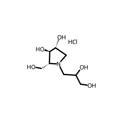 Cl.OCC(O)CN1C[C@@H](O)[C@H](O)[C@H]1CO